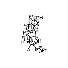 CC[C@]1(O)CC[C@@]2(C)C(CC[C@H]3[C@@H]4CC[C@H]([C@H](C)[C@@H](O)CCC(C)C)[C@@]4(C)CC[C@@H]32)C1